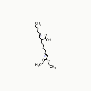 CCCC/C=C/C(CCCC/C=C/C(OCC)OCC)C(=O)O